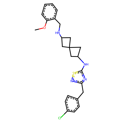 COc1ccccc1CNC1CC2(C1)CC(Nc1nc(Cc3ccc(Cl)cc3)ns1)C2